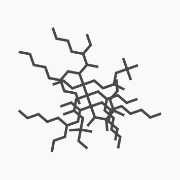 CCCCCC(CCC)C[C](C(C)C(CC)CCCC)C(CCC)(CCC(C)CC(C)(C)C)C(CC(C)CC(C)(C)CC)(CC(CCC)CCCCC)C(CC(CCC)CCCCC)(C(CC)CC(CCC)CCCCC)C(C)C(C)C(C)CCC